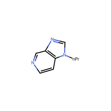 CCCn1cnc2cnccc21